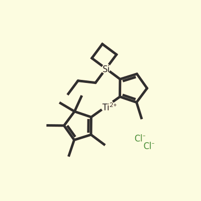 CCC[Si]1(C2=CCC(C)=[C]2[Ti+2][C]2=C(C)C(C)=C(C)C2(C)C)CCC1.[Cl-].[Cl-]